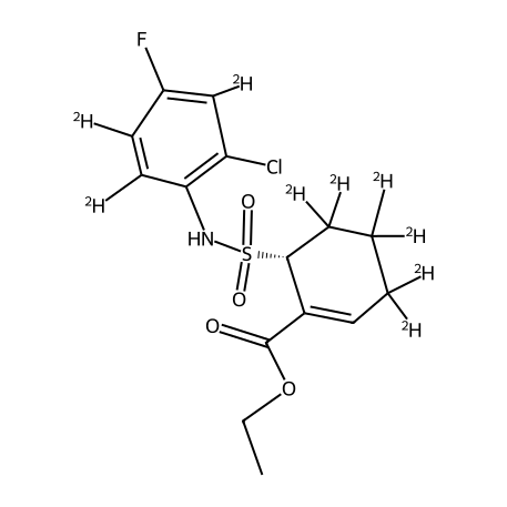 [2H]c1c([2H])c(NS(=O)(=O)[C@H]2C(C(=O)OCC)=CC([2H])([2H])C([2H])([2H])C2([2H])[2H])c(Cl)c([2H])c1F